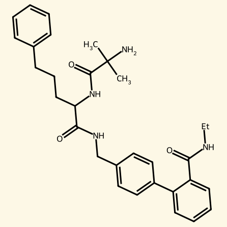 CCNC(=O)c1ccccc1-c1ccc(CNC(=O)C(CCCc2ccccc2)NC(=O)C(C)(C)N)cc1